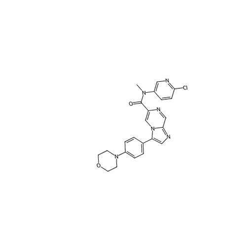 CN(C(=O)c1cn2c(-c3ccc(N4CCOCC4)cc3)cnc2cn1)c1ccc(Cl)nc1